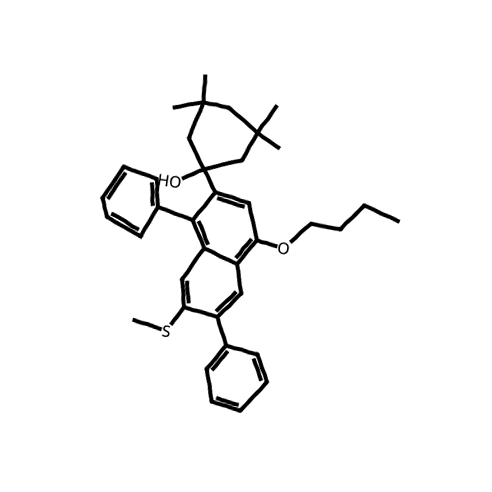 CCCCOc1cc(C2(O)CC(C)(C)CC(C)(C)C2)c(-c2ccccc2)c2cc(SC)c(-c3ccccc3)cc12